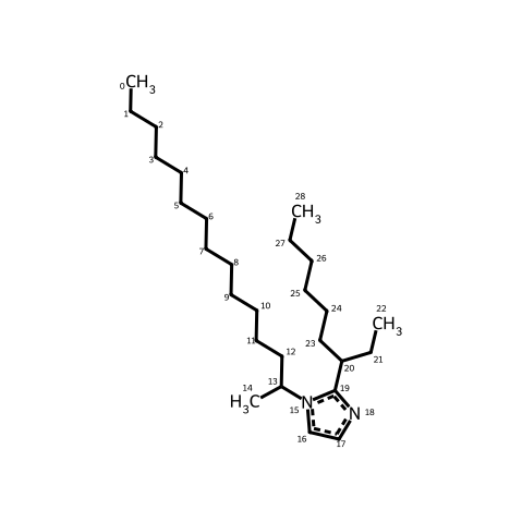 CCCCCCCCCCCCCC(C)n1ccnc1C(CC)CCCCCC